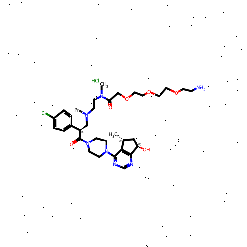 CC(C)N(CCN(C)C(=O)COCCOCCOCCN)C[C@@H](C(=O)N1CCN(c2ncnc3c2[C@H](C)C[C@H]3O)CC1)c1ccc(Cl)cc1.Cl